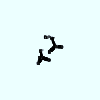 [Cu+2].[O]=[Nb](=[O])[O-].[O]=[Nb](=[O])[O-]